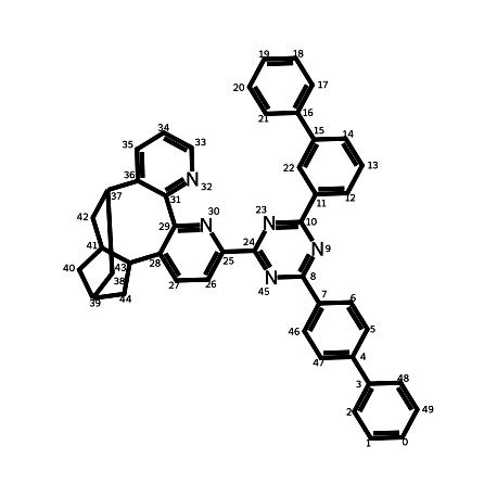 c1ccc(-c2ccc(-c3nc(-c4cccc(-c5ccccc5)c4)nc(-c4ccc5c(n4)-c4ncccc4C4CC6CC(C4)C5C6)n3)cc2)cc1